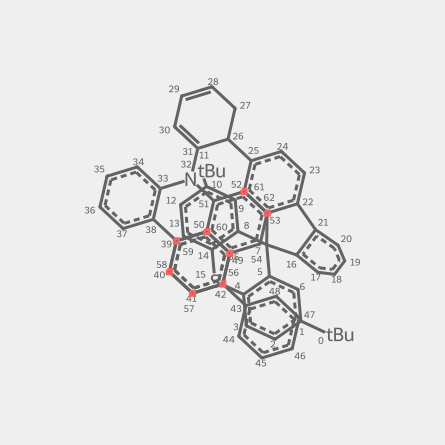 CC(C)(C)c1ccc2c(c1)C1(c3cc(C(C)(C)C)ccc3S2)c2ccccc2-c2ccc(C3CC=CC=C3N(c3ccccc3-c3ccc(-c4ccccc4)cc3)c3cccc4ccccc34)cc21